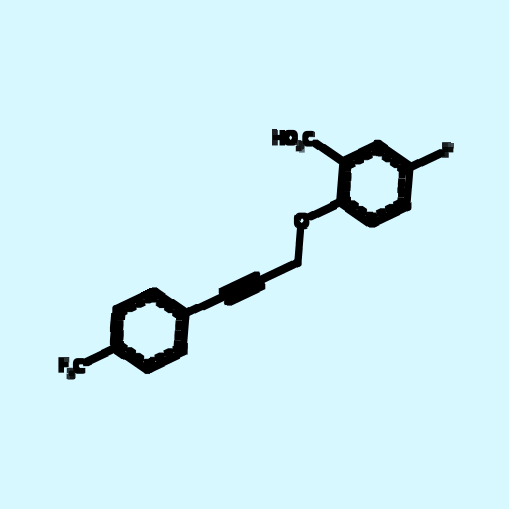 O=C(O)c1cc(F)ccc1OCC#Cc1ccc(C(F)(F)F)cc1